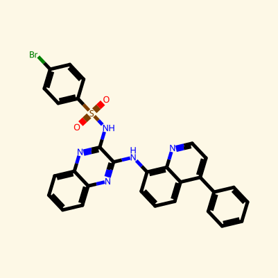 O=S(=O)(Nc1nc2ccccc2nc1Nc1cccc2c(-c3ccccc3)ccnc12)c1ccc(Br)cc1